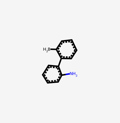 Bc1ccccc1-c1ccccc1N